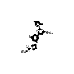 CC(=O)Nc1cc(-c2cc(F)cc(OC3CCN(C(=O)OC(C)(C)C)C3)c2)nc(-n2nc(C)cc2C)n1